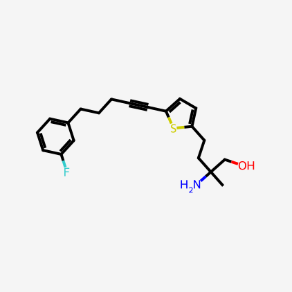 CC(N)(CO)CCc1ccc(C#CCCCc2cccc(F)c2)s1